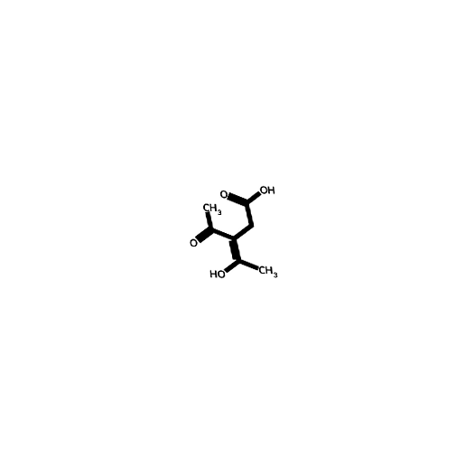 CC(=O)/C(CC(=O)O)=C(/C)O